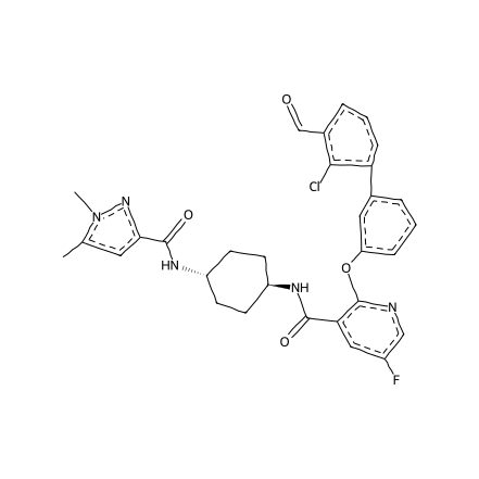 Cc1cc(C(=O)N[C@H]2CC[C@H](NC(=O)c3cc(F)cnc3Oc3cccc(-c4cccc(C=O)c4Cl)c3)CC2)nn1C